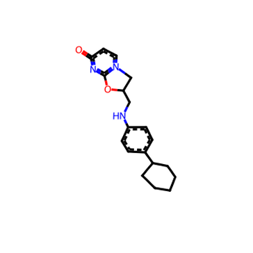 O=c1ccn2c(n1)OC(CNc1ccc(C3CCCCC3)cc1)C2